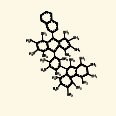 Bc1c(B)c(-c2c3c(B)c(B)c(B)c(B)c3c(-c3ccc4ccccc4c3)c3c(B)c(B)c(B)c(B)c23)c(B)c(-c2c(B)c3c(B)c(B)c(B)c(B)c3c3c(B)c(B)c(B)c(B)c23)c1B